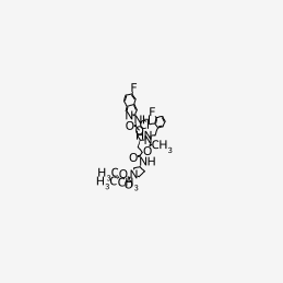 CC(=O)N(NCc1cccc(F)c1Cl)[C@@H](CCC(=O)NC1CCN(C(=O)OC(C)(C)C)C1)COC(=O)Nc1cc2cc(F)ccc2cn1